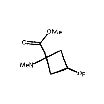 CNC1(C(=O)OC)CC([18F])C1